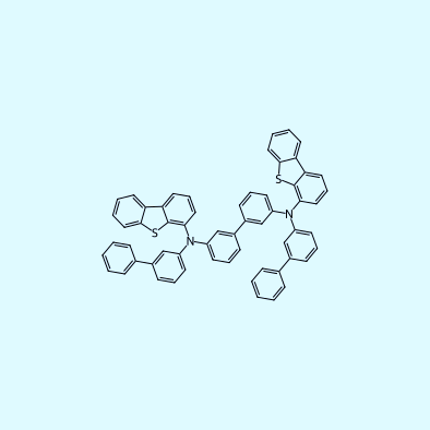 c1ccc(-c2cccc(N(c3cccc(-c4cccc(N(c5cccc(-c6ccccc6)c5)c5cccc6c5sc5ccccc56)c4)c3)c3cccc4c3sc3ccccc34)c2)cc1